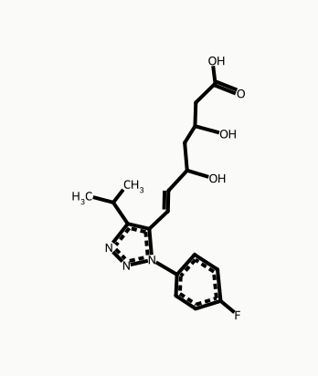 CC(C)c1nnn(-c2ccc(F)cc2)c1/C=C/C(O)CC(O)CC(=O)O